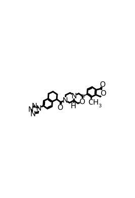 Cc1c([C@@H]2CN3CCN(C(=O)C4CCCc5cc(-n6cnnn6)ccc54)C[C@H]3CO2)ccc2c1COC2=O